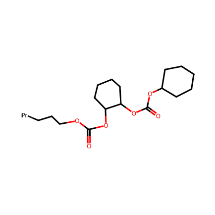 CC(C)CCCOC(=O)OC1CCCCC1OC(=O)OC1CCCCC1